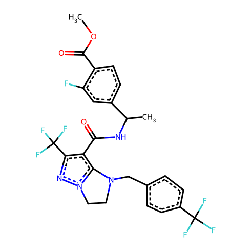 COC(=O)c1ccc(C(C)NC(=O)c2c(C(F)(F)F)nn3c2N(Cc2ccc(C(F)(F)F)cc2)CC3)cc1F